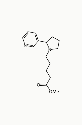 COC(=O)CCCCN1CCCC1c1cccnc1